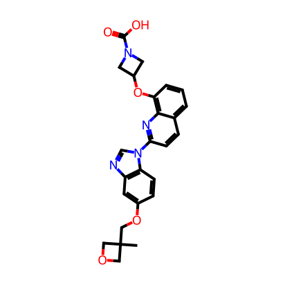 CC1(COc2ccc3c(c2)ncn3-c2ccc3cccc(OC4CN(C(=O)O)C4)c3n2)COC1